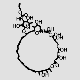 C=CCOC(=O)NC1C(O)C(C)OC(OC2/C=C/C=C/C=C/C=C/C=C/C=C/C=C/C(C)C(O)C(C)C(C)OC(=O)CC(O)CC(O)CCC(O)C(O)CC(O)CC3(OC)CC(O)C(C(=O)O)C(C2)O3)C1O